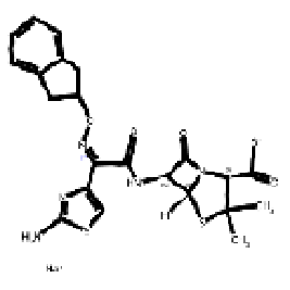 CC1(C)S[C@@H]2[C@@H](NC(=O)/C(=N\OC3Cc4ccccc4C3)c3csc(N)n3)C(=O)N2[C@H]1C(=O)[O-].[Na+]